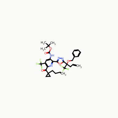 C=CCCC1(C(=O)c2nc(-c3nnc(C(CC=C)(OCc4ccccc4)C(F)(F)F)o3)c(NC(=O)OC(C)(C)C)cc2C(F)(F)F)CC1